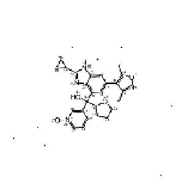 Cc1noc(C)c1-c1cc(C(O)(c2ccc[n+]([O-])c2)C2CCCO2)c2nc(C3CC3)[nH]c2c1